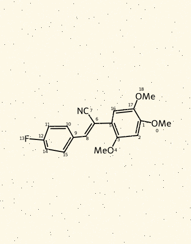 COc1cc(OC)c(C(C#N)=Cc2ccc(F)cc2)cc1OC